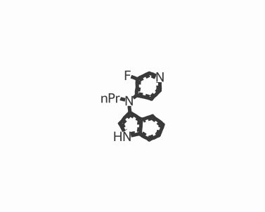 CCCN(c1ccncc1F)c1c[nH]c2ccccc12